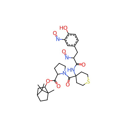 CC1(C)C2CCC1(C)C(OC(=O)C1CCCN1C(=O)C1(NC(=O)C(Cc3ccc(O)c(N=O)c3)N=O)CCSCC1)C2